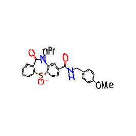 CCCN1C(=O)c2ccccc2[S+]([O-])c2ccc(C(=O)NCc3ccc(OC)cc3)cc21